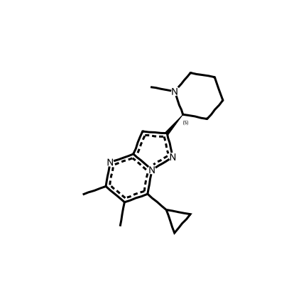 Cc1nc2cc([C@@H]3CCCCN3C)nn2c(C2CC2)c1C